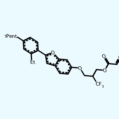 C=CC(=O)OCC(COc1ccc2cc(-c3ccc(CCCCC)cc3CC)oc2c1)C(F)(F)F